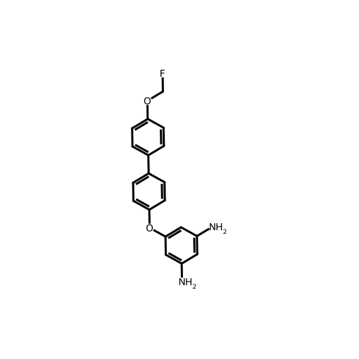 Nc1cc(N)cc(Oc2ccc(-c3ccc(OCF)cc3)cc2)c1